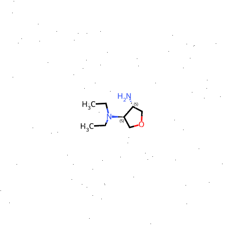 CCN(CC)[C@@H]1COC[C@H]1N